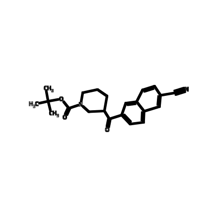 CC(C)(C)OC(=O)N1CCCC(C(=O)c2ccc3cc(C#N)ccc3c2)C1